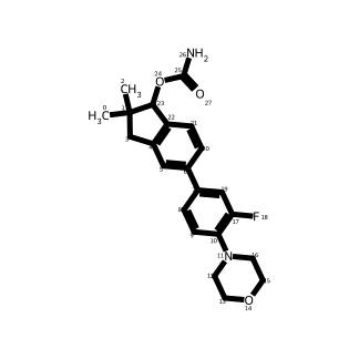 CC1(C)Cc2cc(-c3ccc(N4CCOCC4)c(F)c3)ccc2C1OC(N)=O